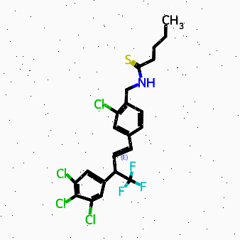 CCCCC(=S)NCc1ccc(/C=C/C(c2cc(Cl)c(Cl)c(Cl)c2)C(F)(F)F)cc1Cl